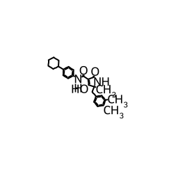 Cc1ccc(CC2(C)NC(=O)C(C(=O)Nc3ccc(C4CCCCC4)cc3)=C2O)cc1C